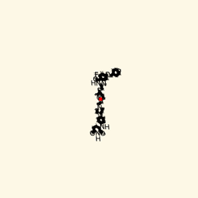 O=C1CCC(Nc2ccc(N3CCN(CCN4CCC(SCc5nc6cc(OCC7CCOCC7)cc(F)c6c(=O)[nH]5)CC4)CC3)cc2)C(=O)N1